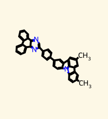 Cc1ccc2c(c1)c1cc(C)cc3c4cc(-c5ccc(-c6cnc7c8ccccc8c8ccccc8c7n6)cc5)ccc4n2c13